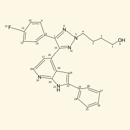 OCCCCn1nc(-c2ccc(F)cc2)c(-c2ccnc3[nH]c(-c4ccccc4)cc23)n1